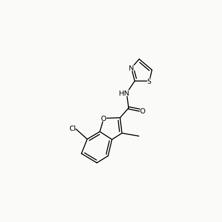 Cc1c(C(=O)Nc2nccs2)oc2c(Cl)cccc12